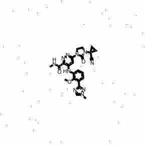 CNC(=O)c1nnc(N2CCN(C3(C#N)CC3)C2=O)cc1Nc1cccc(-c2ncn(C)n2)c1OC